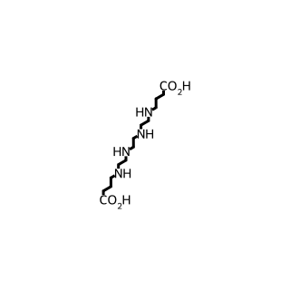 O=C(O)CCCNCCNCCNCCNCCCC(=O)O